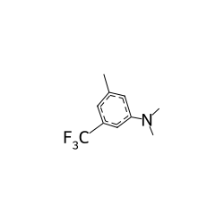 Cc1cc(N(C)C)cc(C(F)(F)F)c1